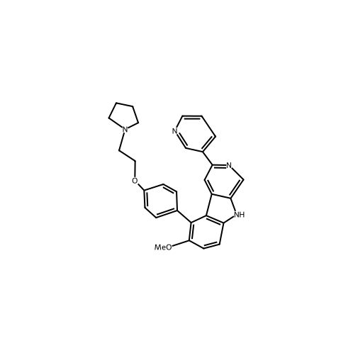 COc1ccc2[nH]c3cnc(-c4cccnc4)cc3c2c1-c1ccc(OCCN2CCCC2)cc1